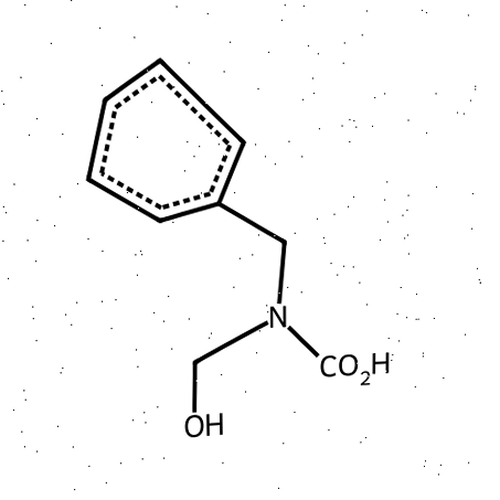 O=C(O)N(CO)Cc1ccccc1